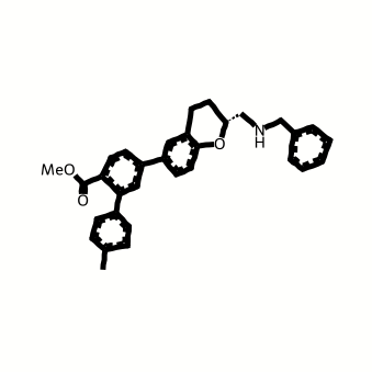 COC(=O)c1ccc(-c2ccc3c(c2)CC[C@H](CNCc2ccccc2)O3)cc1-c1ccc(C)cc1